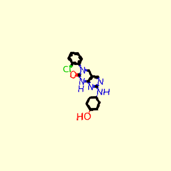 O=C1Nc2nc(N[C@H]3CC[C@@H](O)CC3)ncc2CN1c1ccccc1Cl